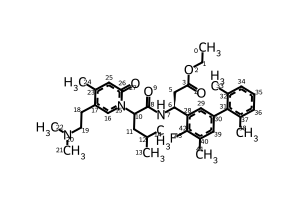 CCOC(=O)C[C@H](NC(=O)C(CC(C)C)n1cc(CCN(C)C)c(C)cc1=O)c1cc(-c2c(C)cccc2C)cc(C)c1F